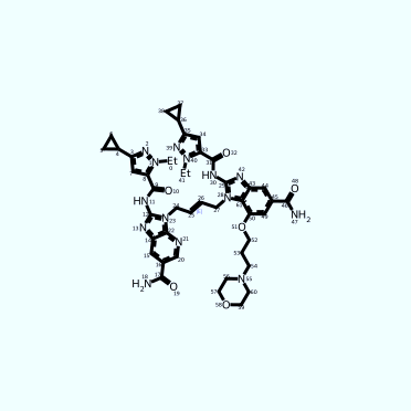 CCn1nc(C2CC2)cc1C(=O)Nc1nc2cc(C(N)=O)cnc2n1C/C=C/Cn1c(NC(=O)c2cc(C3CC3)nn2CC)nc2cc(C(N)=O)cc(OCCCN3CCOCC3)c21